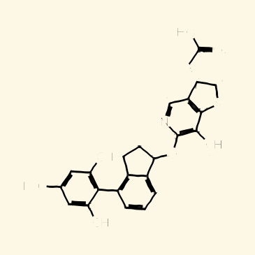 Cc1cc(C)c(-c2cccc3c2CCC3Oc2ncc3c(c2C)SC[C@H]3CC(=O)O)c(C)c1